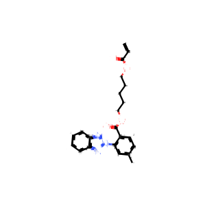 C=CC(=O)OCCCCCOC(=O)c1ccc(C)cc1-n1nc2ccccc2n1